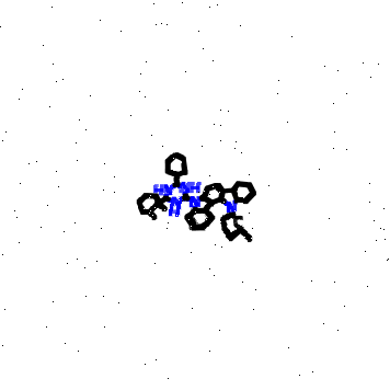 CC1CCCC(N2C3CCCCC3C3=CCC4C(C5CCC=CC5N4C4NC(C5CCCCC5)NC(C5(C)CCCCC5C)N4)C32)C1